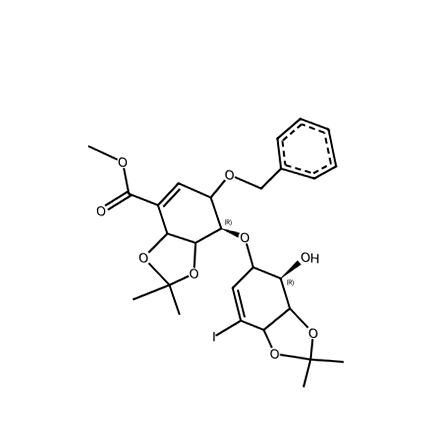 COC(=O)C1=CC(OCc2ccccc2)[C@@H](OC2C=C(I)C3OC(C)(C)OC3[C@@H]2O)C2OC(C)(C)OC12